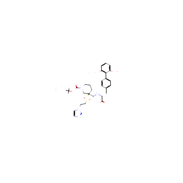 COc1cccc(OC)c1-c1ccc(C[C@H](NCC2(S(=O)(=O)CCn3ccnc3)CCCN(C(=O)OC(C)(C)C)C2)C(=O)O)cc1